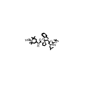 CC(C)C[C@@H](/C=C/[C@H](Cc1ccccc1)C(=O)N1CCC[C@@H]1C(=O)NC1CC(C)(C)N(O)C(C)(C)C1)NC(=O)OC(C)(C)C